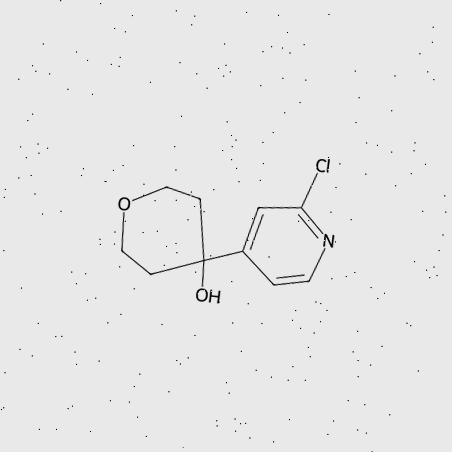 OC1(c2ccnc(Cl)c2)CCOCC1